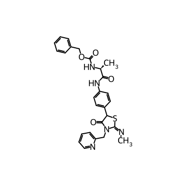 CN=C1SC(c2ccc(NC(=O)[C@H](C)NC(=O)OCc3ccccc3)cc2)C(=O)N1Cc1ccccn1